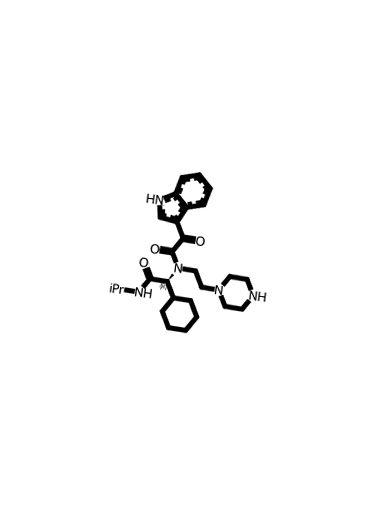 CC(C)NC(=O)[C@@H](C1CCCCC1)N(CCN1CCNCC1)C(=O)C(=O)c1c[nH]c2ccccc12